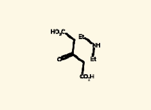 CCNCC.O=C(O)CC(=O)CC(=O)O